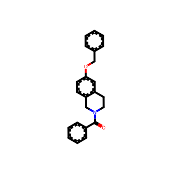 O=C(c1ccccc1)N1CCc2cc(OCc3ccccc3)ccc2C1